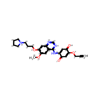 C#CCOC1=CC(=O)C(Nc2ncnc3cc(OCCCN4CCCC4)c(OC)cc23)=CC1=O